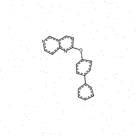 c1ccc(-c2ccc(Oc3ccc4cnccc4n3)cc2)cc1